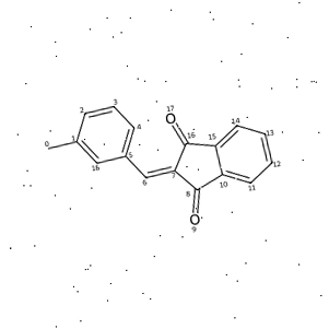 Cc1cccc(C=C2C(=O)c3ccccc3C2=O)c1